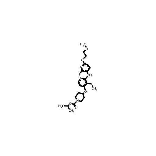 COCCOc1ccc(Nc2nccc(OC3CCN(C(=O)OC(C)C)CC3)c2OC)c(F)n1